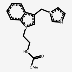 COC(=O)NCCn1cc(Cn2ccnc2)c2ccccc21